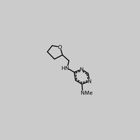 CNc1cc(NCC2CCCO2)ncn1